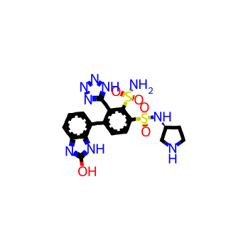 NS(=O)(=O)c1c(S(=O)(=O)N[C@@H]2CCNC2)ccc(-c2cccc3nc(O)[nH]c23)c1-c1nnn[nH]1